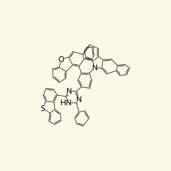 c1ccc(C2N=C(c3ccc(-n4c5ccccc5c5cc6ccccc6cc54)c(-c4c5ccccc5cc5oc6ccccc6c45)c3)N=C(c3cccc4sc5ccccc5c34)N2)cc1